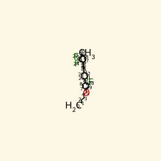 C=CCCCOc1ccc(C2CCC(C#Cc3ccc(C)c(F)c3F)CC2)c(F)c1